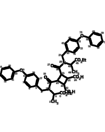 CCOC(=O)C(C)N(Cc1ccc(Oc2ccccc2)cc1)C(=O)C1C(C(=O)O)C(C(=O)O)C1C(=O)N(Cc1ccc(Oc2ccccc2)cc1)C(C)C(=O)OCC